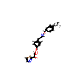 O=C(COc1ccc(CC=NOCc2ccc(C(F)(F)F)cc2)cc1)c1nccs1